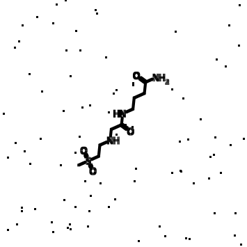 CS(=O)(=O)CCNCC(=O)NCCCC(N)=O